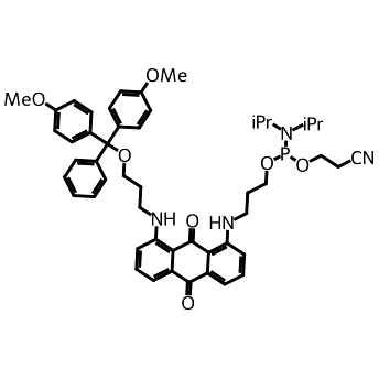 COc1ccc(C(OCCCNc2cccc3c2C(=O)c2c(NCCCOP(OCCC#N)N(C(C)C)C(C)C)cccc2C3=O)(c2ccccc2)c2ccc(OC)cc2)cc1